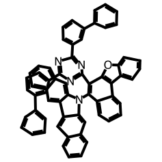 c1ccc(-c2cccc(-c3nc(-c4cccc(-c5ccccc5)c4)nc(-c4c(-n5c6cc7ccccc7cc6c6cc7ccccc7cc65)c5ccccc5c5c4oc4ccccc45)n3)c2)cc1